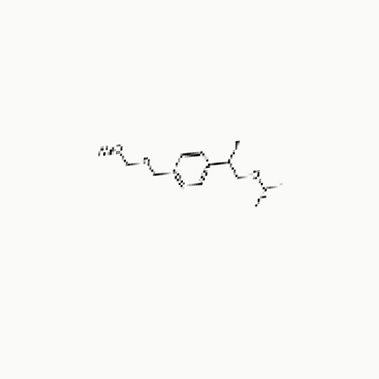 COCOCc1ccc(C(F)CO[SiH](C)C)cc1